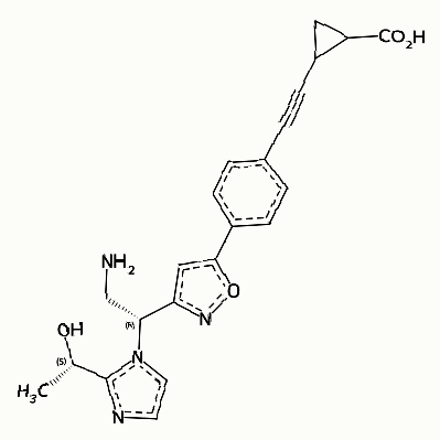 C[C@H](O)c1nccn1[C@H](CN)c1cc(-c2ccc(C#CC3CC3C(=O)O)cc2)on1